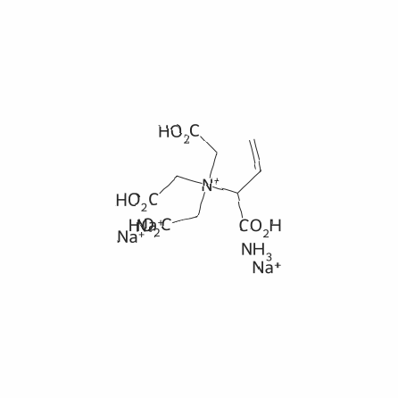 C=CC(C(=O)O)[N+](CC(=O)O)(CC(=O)O)CC(=O)O.N.[Na+].[Na+].[Na+]